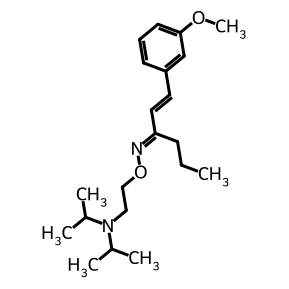 CCCC(/C=C/c1cccc(OC)c1)=N\OCCN(C(C)C)C(C)C